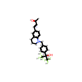 CC(=O)/C=C/c1ccc2c(c1)CCCN2Cc1ccc(C(O)(C(F)(F)F)C(F)(F)F)cc1